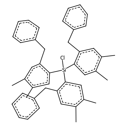 Cc1cc(Cc2ccccc2)c([Si](Cl)(c2cc(C)c(C)cc2Cc2ccccc2)c2cc(C)c(C)cc2Cc2ccccc2)cc1C